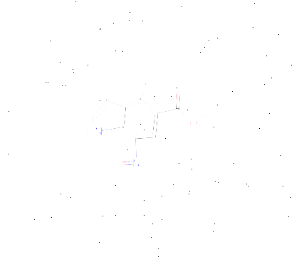 COC(=O)c1cc([N+](=O)[O-])c2[nH]ccc2c1Cl